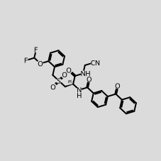 N#CCNC(=O)[C@H](CS(=O)(=O)Cc1ccccc1OC(F)F)NC(=O)c1cccc(C(=O)c2ccccc2)c1